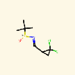 CC(C)(C)[S@@+]([O-])N=CC1CC1(Cl)Cl